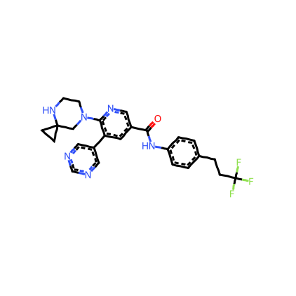 O=C(Nc1ccc(CCC(F)(F)F)cc1)c1cnc(N2CCNC3(CC3)C2)c(-c2cncnc2)c1